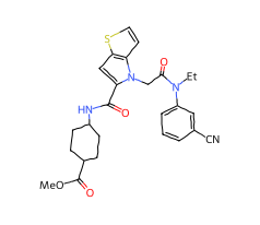 CCN(C(=O)Cn1c(C(=O)NC2CCC(C(=O)OC)CC2)cc2sccc21)c1cccc(C#N)c1